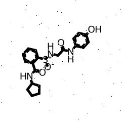 O=C(CN[S+]([O-])c1ccccc1C(=O)NC1CCCC1)Nc1ccc(O)cc1